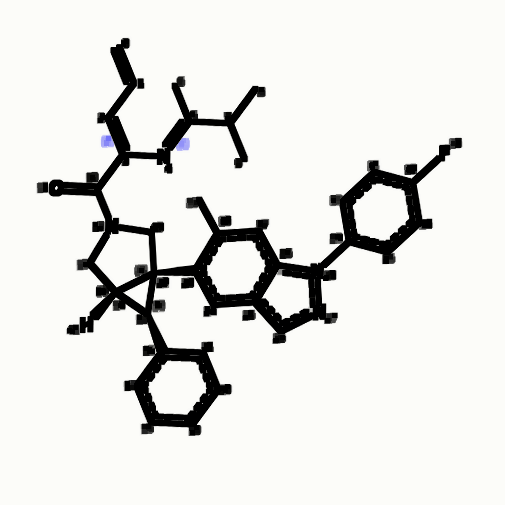 C=C/C=C(\N=C(/C)C(C)C)C(=O)N1C[C@H]2[C@H](c3ccccc3)[C@@]2(c2cc3cnn(-c4ccc(F)cc4)c3cc2C)C1